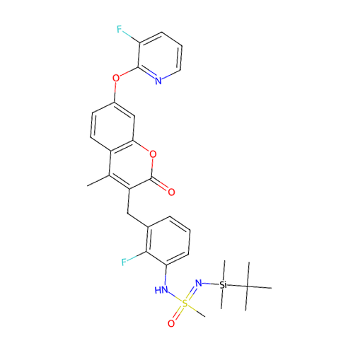 Cc1c(Cc2cccc(NS(C)(=O)=N[Si](C)(C)C(C)(C)C)c2F)c(=O)oc2cc(Oc3ncccc3F)ccc12